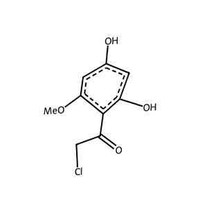 COc1cc(O)cc(O)c1C(=O)CCl